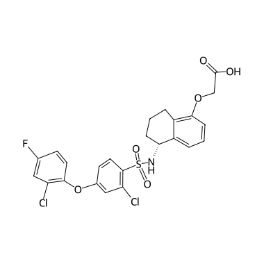 O=C(O)COc1cccc2c1CCC[C@H]2NS(=O)(=O)c1ccc(Oc2ccc(F)cc2Cl)cc1Cl